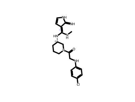 CN/C(N[C@H]1CCCN(C(=O)CNc2ccc(Cl)cc2)C1)=C1/C=CNC1=N